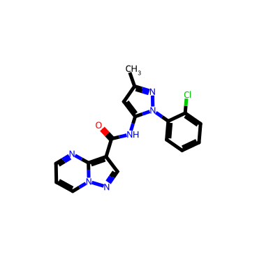 Cc1cc(NC(=O)c2cnn3cccnc23)n(-c2ccccc2Cl)n1